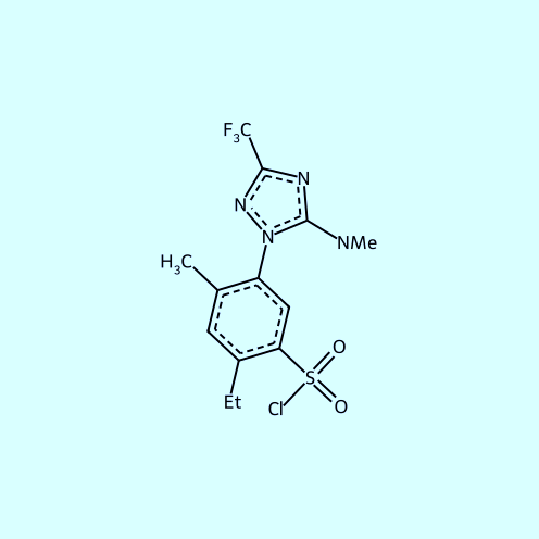 CCc1cc(C)c(-n2nc(C(F)(F)F)nc2NC)cc1S(=O)(=O)Cl